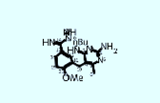 CCCCNc1nc(N)nc(C)c1Cc1cc(C(=N)N=N)ccc1OC